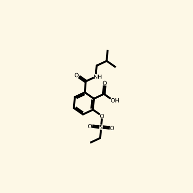 CCS(=O)(=O)Oc1cccc(C(=O)NCC(C)C)c1C(=O)O